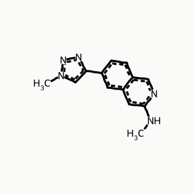 CNc1cc2cc(-c3cn(C)nn3)ccc2cn1